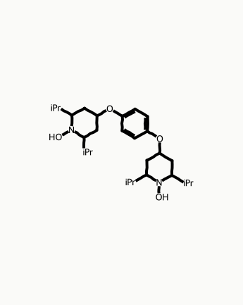 CC(C)C1CC(Oc2ccc(OC3CC(C(C)C)N(O)C(C(C)C)C3)cc2)CC(C(C)C)N1O